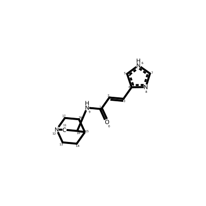 O=C(/C=C/c1c[nH]cn1)NC1CN2CCC1CC2